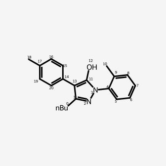 CCCCc1nn(-c2ccccc2C)c(O)c1-c1ccc(C)cc1